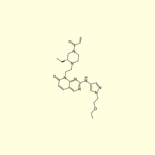 C=CC(=O)N1CCN(CCn2c(=O)ccc3cnc(Nc4cnn(CCOCC)c4)nc32)[C@@H](CC)C1